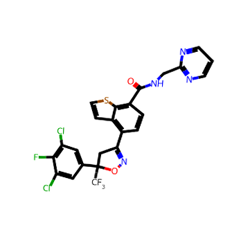 O=C(NCc1ncccn1)c1ccc(C2=NOC(c3cc(Cl)c(F)c(Cl)c3)(C(F)(F)F)C2)c2ccsc12